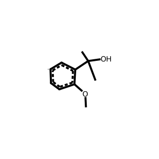 COc1cc[c]cc1C(C)(C)O